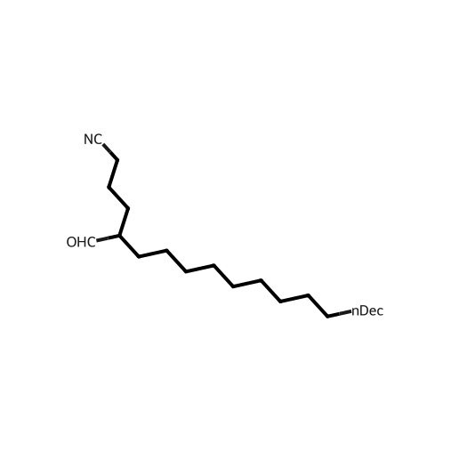 CCCCCCCCCCCCCCCCCCCC(C=O)CCCC#N